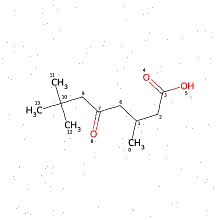 CC(CC(=O)O)CC(=O)CC(C)(C)C